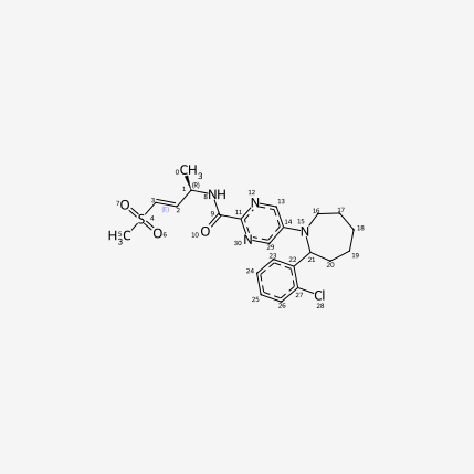 C[C@H](/C=C/S(C)(=O)=O)NC(=O)c1ncc(N2CCCCCC2c2ccccc2Cl)cn1